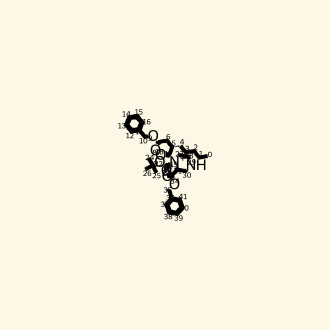 CCCCC[C@@H](CC(=O)OCc1ccccc1)C(=O)[N@+]1(C(=O)OC(C)(C)C)CCNCC1C(=O)OCc1ccccc1